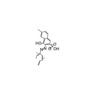 C=C/C=C\C(=C/C)N=Nc1c(S(=O)(=O)O)cc2ccc(C)cc2c1O